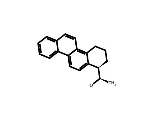 C[C@@H]([O])[C@@H]1CCCc2c1ccc1c2ccc2ccccc21